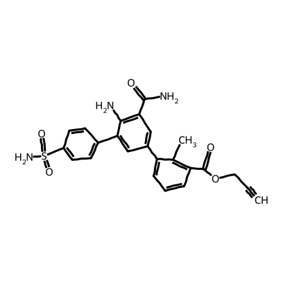 C#CCOC(=O)c1cccc(-c2cc(C(N)=O)c(N)c(-c3ccc(S(N)(=O)=O)cc3)c2)c1C